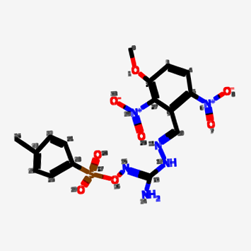 COc1ccc([N+](=O)[O-])c(C=NNC(N)=NOS(=O)(=O)c2ccc(C)cc2)c1[N+](=O)[O-]